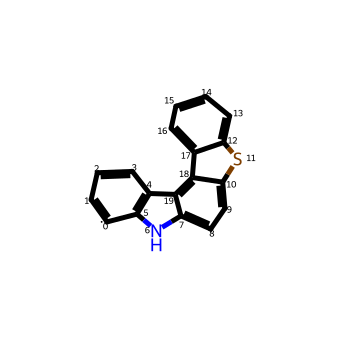 [c]1cccc2c1[nH]c1ccc3sc4ccccc4c3c12